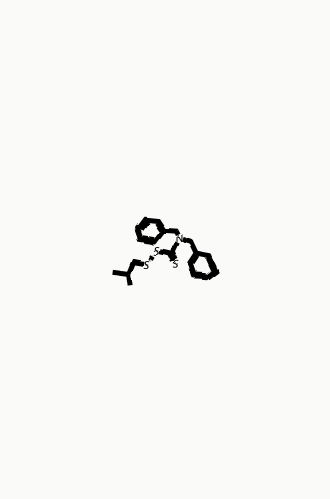 CC(C)CSSC(=S)N(Cc1ccccc1)Cc1ccccc1